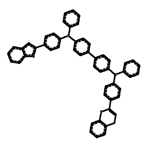 C1=C(c2ccc(N(c3ccccc3)c3ccc(-c4ccc(N(c5ccccc5)c5ccc(-c6cc7ccccc7s6)cc5)cc4)cc3)cc2)Sc2ccccc2C1